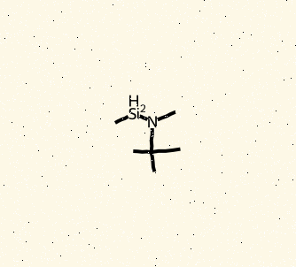 C[SiH2]N(C)C(C)(C)C